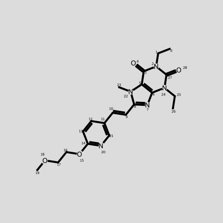 CCn1c(=O)c2c(nc(C=Cc3ccc(OCCOC)nc3)n2C)n(CC)c1=O